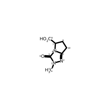 Cn1nc2n(c1=O)C(C(=O)O)CC2